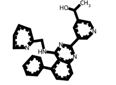 CC(O)c1cncc(-c2nc(NCc3ccccn3)c3c(-c4ccccc4)cccc3n2)c1